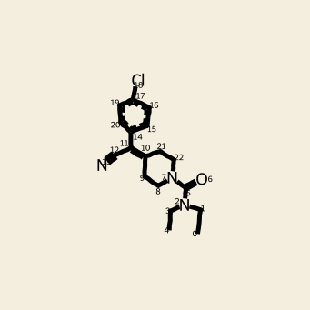 CCN(CC)C(=O)N1CCC(=C(C#N)c2ccc(Cl)cc2)CC1